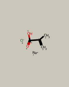 C=C(C)C(=O)O.[Cl-].[Na+]